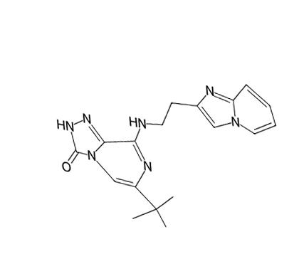 CC(C)(C)c1cn2c(=O)[nH]nc2c(NCCc2cn3ccccc3n2)n1